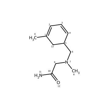 CC1=CC=CC(CN(C)CC(N)=O)C1